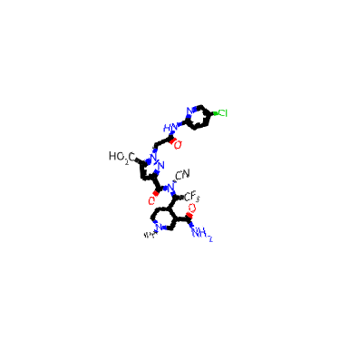 CC(C)N1CCC(C(N(C#N)C(=O)c2cc(C(=O)O)n(CC(=O)Nc3ccc(Cl)cn3)n2)C(F)(F)F)C(C(N)=O)C1